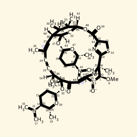 CO[C@H]1[S+]([O-])/C2=C\C(=O)[C@](C)(O[C@H]3CC[C@H](N(C)C)[C@@H](C)O3)[C@H](O)CC/C(C)=C\[C@@H]3[C@@H](C)[C@](C)(Br)[C@@H](C[C@H]3O[C@H]3CC[C@H](N(C)C)[C@@H](C)O3)OC(=O)[C@@H]3CSC(=N3)[C@]1(C)N2